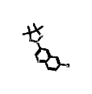 CC1(C)OB(c2cnc3ccc(Cl)cc3c2)OC1(C)C